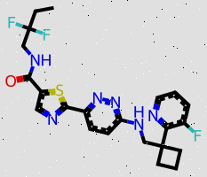 CCC(F)(F)CNC(=O)c1cnc(-c2ccc(NCC3(c4ncccc4F)CCC3)nn2)s1